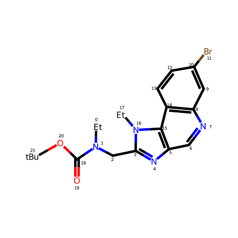 CCN(Cc1nc2cnc3cc(Br)ccc3c2n1CC)C(=O)OC(C)(C)C